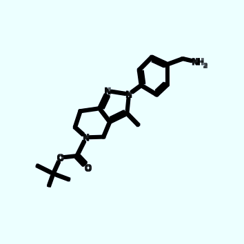 Cc1c2c(nn1-c1ccc(CN)cc1)CCN(C(=O)OC(C)(C)C)C2